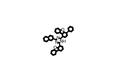 c1ccc(-c2ccc(C3N=C(c4ccc5ccccc5c4)N=C(c4cccc5c4oc4ccccc45)N3)c3c2oc2ccccc23)cc1